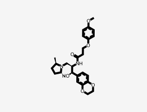 COc1ccc(OCCC(=O)N[C@H](CN2[C@H](C)CC[C@H]2C)[C@H](O)c2ccc3c(c2)OCCO3)cc1